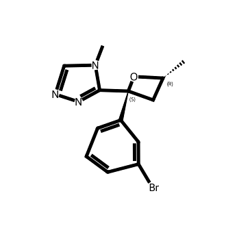 C[C@@H]1C[C@](c2cccc(Br)c2)(c2nncn2C)O1